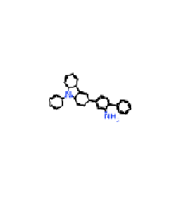 Nc1cc(C2C=C3C4C=CC=CC4N(C4C=CC=CC4)C3CC2)ccc1-c1ccccc1